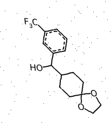 OC(c1cccc(C(F)(F)F)c1)C1CCC2(CC1)OCCO2